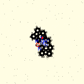 c1ccc2c(c1)-c1ccccc1C21c2cnc3c4c2-n2c5c1cccc5c1ccc[n+](c12)[N+]41c2c(ncc4c2-n2c5c(cccc5c5ccc[n+]1c52)C41c2ccccc2-c2ccccc21)O3